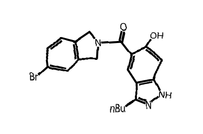 CCCCc1n[nH]c2cc(O)c(C(=O)N3Cc4ccc(Br)cc4C3)cc12